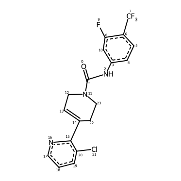 O=C(Nc1ccc(C(F)(F)F)c(F)c1)N1CC=C(c2ncccc2Cl)CC1